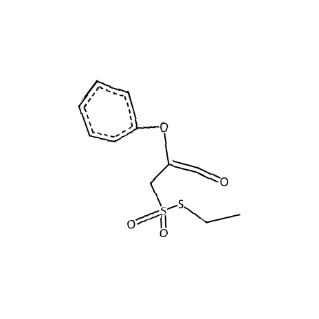 CCSS(=O)(=O)CC(=C=O)Oc1ccccc1